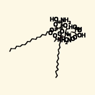 CCCCCCCCCCCCCCCCOOC[C@H]1O[C@H](O)[C@H](N)[C@@H](OC(C)CN(C(=O)[C@H](C)NC(C)=O)[C@H](CC(C(=O)O)[PH](=O)O)C(N)=O)[C@@H]1OOCCCCCCCCCCCCCCCC